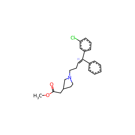 COC(=O)CC1CCN(CC/C=C(\c2ccccc2)c2cccc(Cl)c2)C1